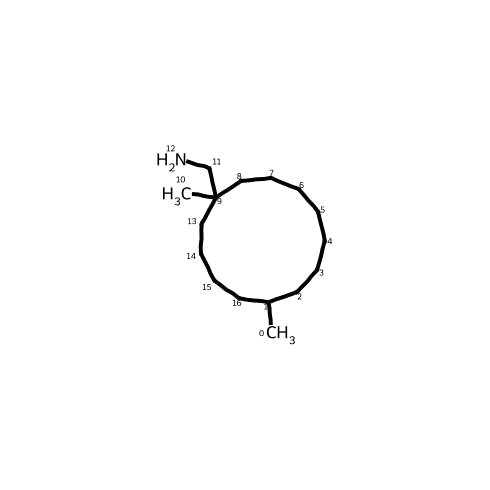 CC1CCCCCCCC(C)(CN)CCCC1